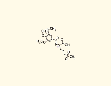 COc1cc(C(=O)/N=C(/CCCS(C)(=O)=O)C(=O)O)cc(OC)c1OC